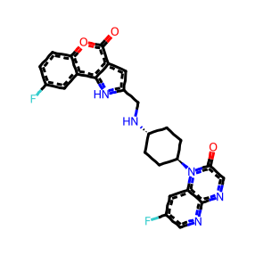 O=c1oc2ccc(F)cc2c2[nH]c(CN[C@H]3CC[C@H](n4c(=O)cnc5ncc(F)cc54)CC3)cc12